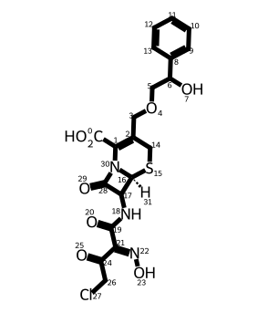 O=C(O)C1=C(COCC(O)c2ccccc2)CS[C@H]2C(NC(=O)C(=NO)C(=O)CCl)C(=O)N12